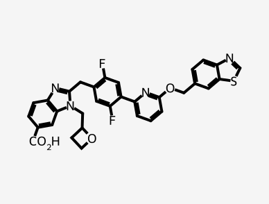 O=C(O)c1ccc2nc(Cc3cc(F)c(-c4cccc(OCc5ccc6ncsc6c5)n4)cc3F)n(CC3CCO3)c2c1